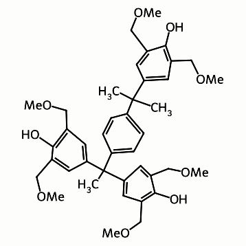 COCc1cc(C(C)(C)c2ccc(C(C)(c3cc(COC)c(O)c(COC)c3)c3cc(COC)c(O)c(COC)c3)cc2)cc(COC)c1O